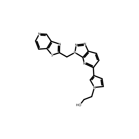 OCCn1ccc(-c2ccc3nnn(Cc4nc5cnccc5s4)c3n2)c1